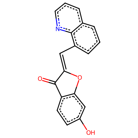 O=C1/C(=C/c2cccc3cccnc23)Oc2cc(O)ccc21